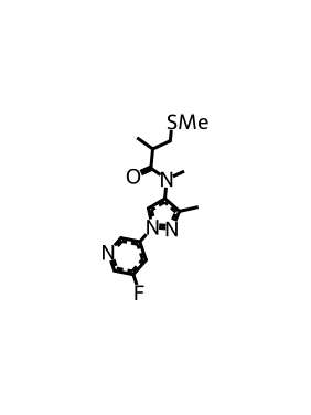 CSCC(C)C(=O)N(C)c1cn(-c2cncc(F)c2)nc1C